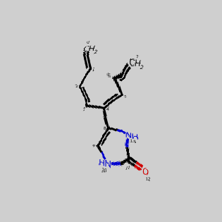 C=C/C=C\C(=C/C=C)c1c[nH]c(=O)[nH]1